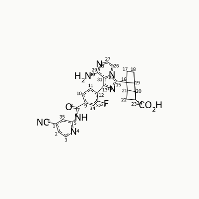 N#Cc1ccnc(NC(=O)c2ccc(-c3nc(C45CC6C4C4C5CC64C(=O)O)n4ccnc(N)c34)c(F)c2)c1